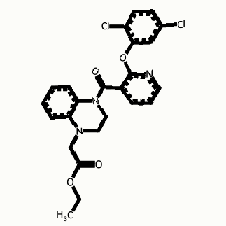 CCOC(=O)CN1CCN(C(=O)c2cccnc2Oc2cc(Cl)ccc2Cl)c2ccccc21